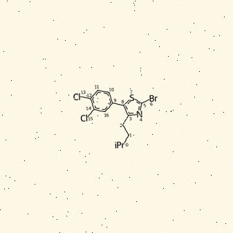 CC(C)CCc1nc(Br)sc1-c1ccc(Cl)c(Cl)c1